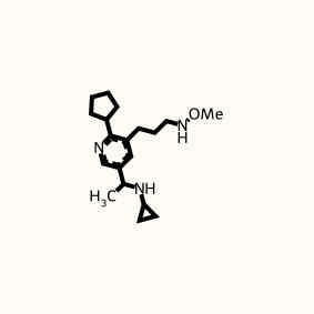 CONCCCc1cc(C(C)NC2CC2)cnc1C1CCCC1